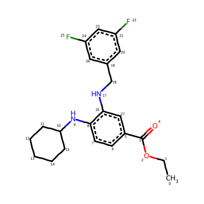 CCOC(=O)c1ccc(NC2CCCCC2)c(NCc2cc(F)cc(F)c2)c1